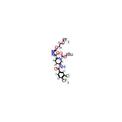 CC(C)(C)OC(=O)N1C[C@@H](NC(=O)c2ccc(C(F)(F)F)c(Cl)c2)CC[C@@H]1c1nnc(OCCOC(F)(F)F)o1